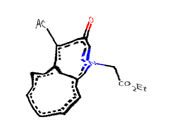 CCOC(=O)Cn1c2cccccc-2c(C(C)=O)c1=O